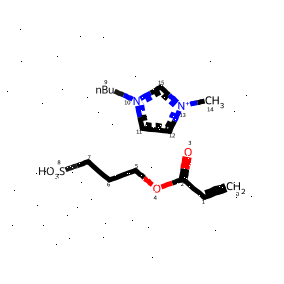 C=CC(=O)OCCCS(=O)(=O)O.CCCCn1cc[n+](C)c1